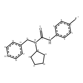 O=C(Nc1ccc(F)cc1)N(Cc1ccncc1)C1CCCC1